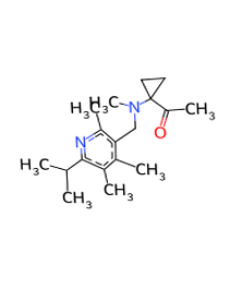 CC(=O)C1(N(C)Cc2c(C)nc(C(C)C)c(C)c2C)CC1